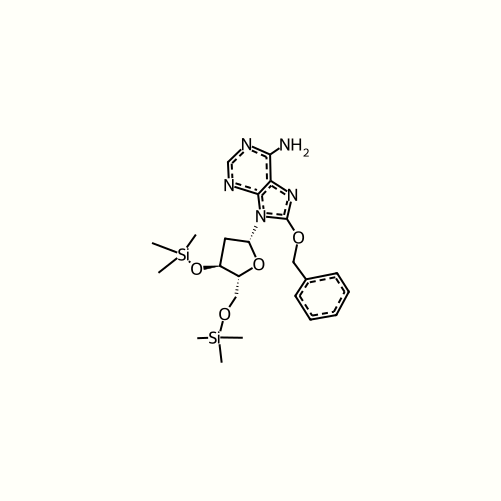 C[Si](C)(C)OC[C@H]1O[C@@H](n2c(OCc3ccccc3)nc3c(N)ncnc32)C[C@@H]1O[Si](C)(C)C